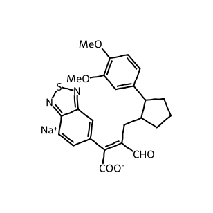 COc1ccc(C2CCCC2CC(C=O)=C(C(=O)[O-])c2ccc3nsnc3c2)cc1OC.[Na+]